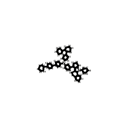 c1ccc(-c2ccc(-c3ccc(N(c4ccc(-c5ccccc5-c5ccccc5)cc4)c4cccc(-c5cccc6c5c5c(n6-c6ccccc6)-c6ccccc6CC5)c4)cc3)cc2)cc1